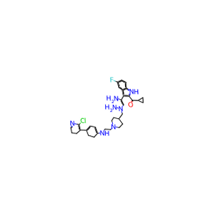 N/C(=C\N(N)CC1CCN(CCNC2=CC=C(C3=C(Cl)N=CCC3)CC2)CC1)c1c(C(=O)C2CC2)[nH]c2ccc(F)cc12